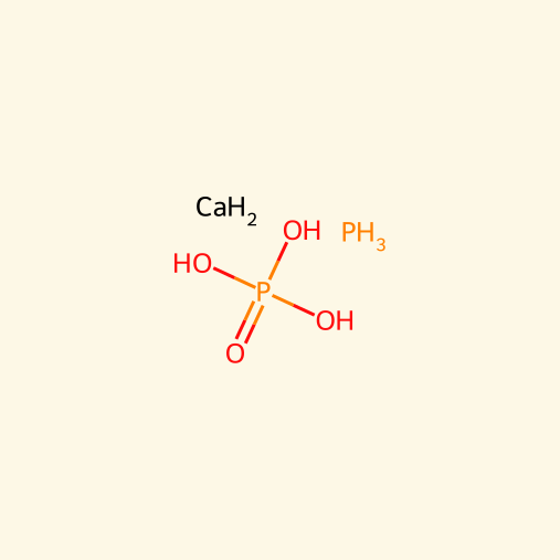 O=P(O)(O)O.P.[CaH2]